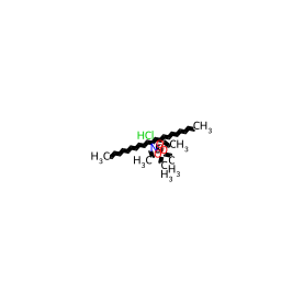 CCCCCCCCCCCC(CCCCCCCCCCC)N(CCC)[Si](OCCC)(OCCC)OCCC.Cl